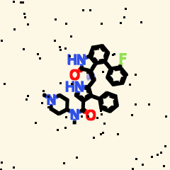 CN1CCC(N(C)C(=O)c2c[nH]c(/C=C3\C(=O)Nc4cccc(-c5ccccc5F)c43)c2-c2ccccc2)CC1